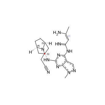 C/C(N)=C/C(=N)Nc1nc(N[C@@H]2C[C@H]3CC[C@@H](C2)N3CCC#N)nc2c1cnn2C